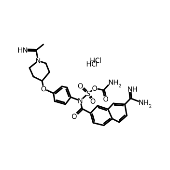 CC(=N)N1CCC(Oc2ccc(N(C(=O)c3ccc4ccc(C(=N)N)cc4c3)S(=O)(=O)OC(N)=O)cc2)CC1.Cl.Cl